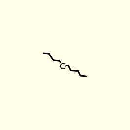 CCCCCOCCCC